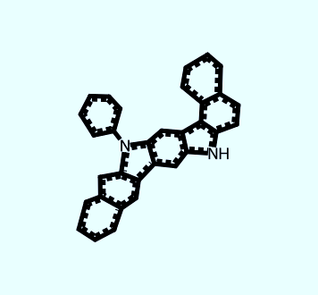 c1ccc(-n2c3cc4ccccc4cc3c3cc4[nH]c5ccc6ccccc6c5c4cc32)cc1